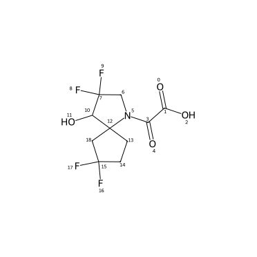 O=C(O)C(=O)N1CC(F)(F)C(O)C12CCC(F)(F)C2